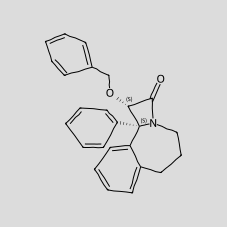 O=C1[C@@H](OCc2ccccc2)[C@]2(c3ccccc3)c3ccccc3CCCN12